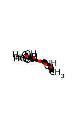 C[C@@H](O)[C@H](NC(=O)c1ccc(C#CC#Cc2ccc(NC(=O)CN3CCN(C)CC3)cc2)cc1)C(=O)NO